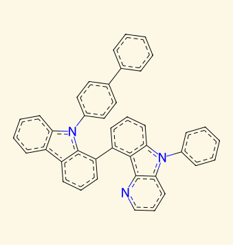 c1ccc(-c2ccc(-n3c4ccccc4c4cccc(-c5cccc6c5c5ncccc5n6-c5ccccc5)c43)cc2)cc1